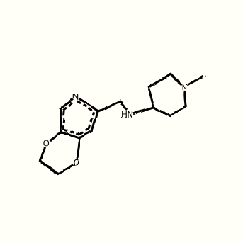 [CH2]N1CCC(NCc2cc3c(cn2)OCCO3)CC1